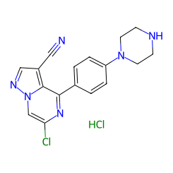 Cl.N#Cc1cnn2cc(Cl)nc(-c3ccc(N4CCNCC4)cc3)c12